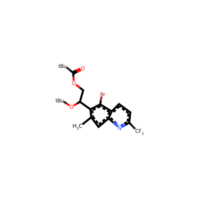 Cc1cc2nc(C(F)(F)F)ccc2c(Br)c1C(COC(=O)C(C)(C)C)OC(C)(C)C